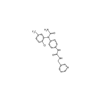 NC(=O)N(c1ccc(NC(=O)NCc2cccnc2)cc1)c1cc(C(F)(F)F)ccc1Cl